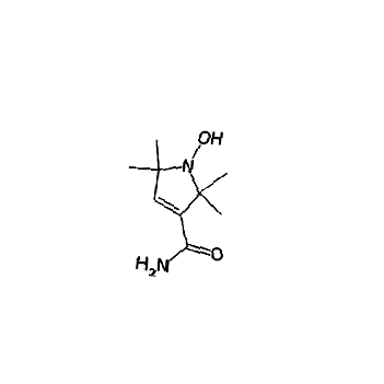 CC1(C)C=C(C(N)=O)C(C)(C)N1O